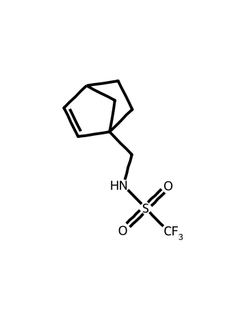 O=S(=O)(NCC12C=CC(CC1)C2)C(F)(F)F